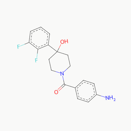 Nc1ccc(C(=O)N2CCC(O)(c3cccc(F)c3F)CC2)cc1